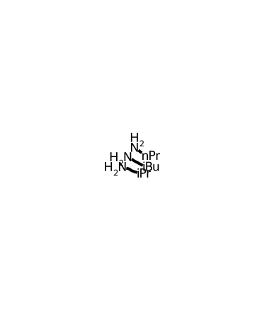 CC(C)N.CCC(C)N.CCCN